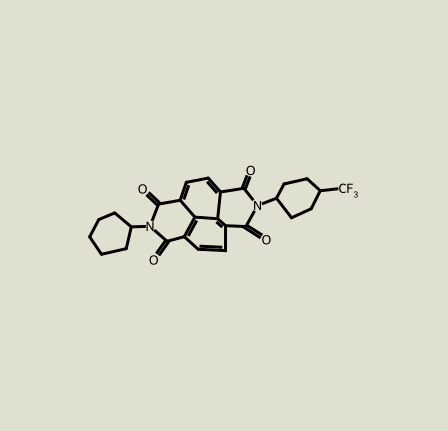 O=C1c2ccc3c4c(ccc(c24)C(=O)N1C1CCCCC1)C(=O)N(C1CCC(C(F)(F)F)CC1)C3=O